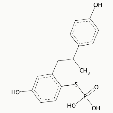 CC(Cc1cc(O)ccc1SP(=O)(O)O)c1ccc(O)cc1